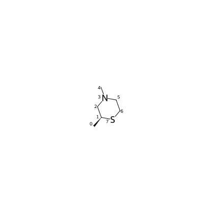 C[C@H]1CN(C)CCS1